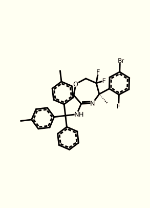 Cc1ccc(C(NC2=N[C@](C)(c3cc(Br)ccc3F)C(F)(F)COC2)(c2ccccc2)c2ccc(C)cc2)cc1